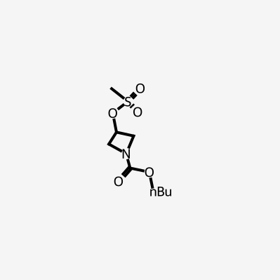 CCCCOC(=O)N1CC(OS(C)(=O)=O)C1